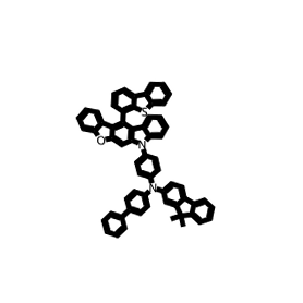 CC1(C)c2ccccc2-c2ccc(N(c3ccc(-c4ccccc4)cc3)c3ccc(-n4c5ccccc5c5c(-c6cccc7c6sc6ccccc67)c6c(cc54)oc4ccccc46)cc3)cc21